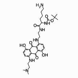 CN(C)CCNc1ccc(O)c2c1C(=O)c1c(O)ccc(NCCNC(=O)C(CCCCN)NC(=O)OC(C)(C)C)c1C2=O